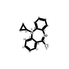 ClC1=Nc2ccccc2N(C2CC2)c2ccccc21